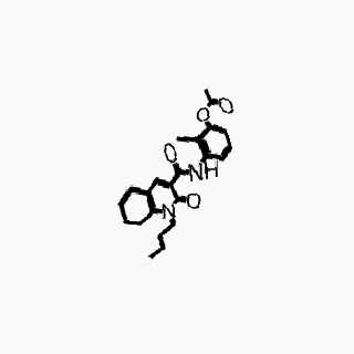 CCCCn1c2c(cc(C(=O)Nc3cccc(OC(C)=O)c3C)c1=O)CCCC2